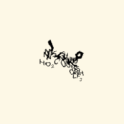 C#CCn1nnnc1SCC1=C(C(=O)O)N2C(=O)C(NC(=O)C(=NOC3CCCC3)c3csc(NC(=O)C(F)(F)F)n3)[C@@H]2SC1